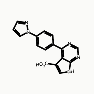 O=C(O)c1c[nH]c2ncnc(-c3ccc(-n4cccn4)cc3)c12